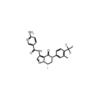 Cc1cc(N2C[C@H](C)n3ncc(NC(=O)c4ccc(N)nc4)c3C2=O)ccc1C(F)(F)F